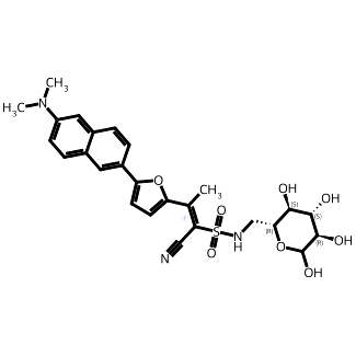 C/C(=C(/C#N)S(=O)(=O)NC[C@H]1OC(O)[C@H](O)[C@@H](O)[C@@H]1O)c1ccc(-c2ccc3cc(N(C)C)ccc3c2)o1